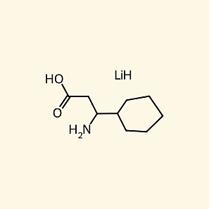 NC(CC(=O)O)C1CCCCC1.[LiH]